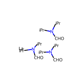 CC(C)N(C=O)C(C)C.CC(C)N(C=O)C(C)C.CC(C)N(C=O)C(C)C.[La]